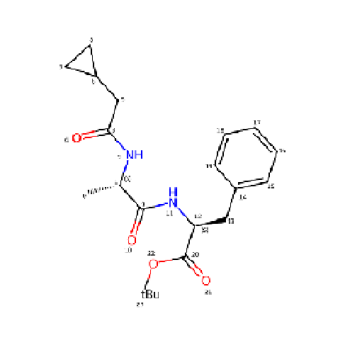 C[C@H](NC(=O)CC1CC1)C(=O)N[C@@H](Cc1ccccc1)C(=O)OC(C)(C)C